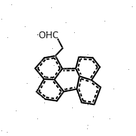 O=[C]Cc1ccc2cccc3c4cccc5cccc(c1c23)c54